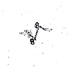 C=C1C(/C=C/C=C/C=C/C=C2/N(CCCCS(=O)(=O)O)c3ccccc3C2(C)C)=[N+](CCC(=O)NC(CC(=O)O)C(=O)O)c2ccc3ccccc3c21